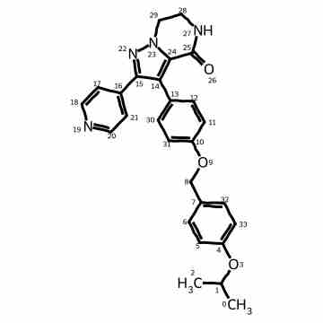 CC(C)Oc1ccc(COc2ccc(-c3c(-c4ccncc4)nn4c3C(=O)NCC4)cc2)cc1